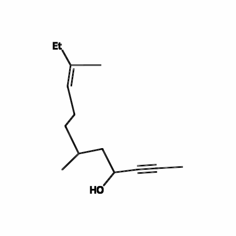 CC#CC(O)CC(C)CC/C=C(\C)CC